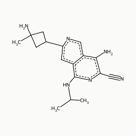 CC(C)Nc1nc(C#N)c(N)c2cnc(C3CC(C)(N)C3)cc12